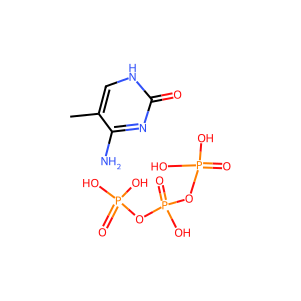 Cc1c[nH]c(=O)nc1N.O=P(O)(O)OP(=O)(O)OP(=O)(O)O